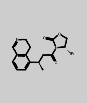 CC(C)[C@H]1COC(=O)N1C(=O)C[C@@H](C)c1cccc2c1CCN=C2